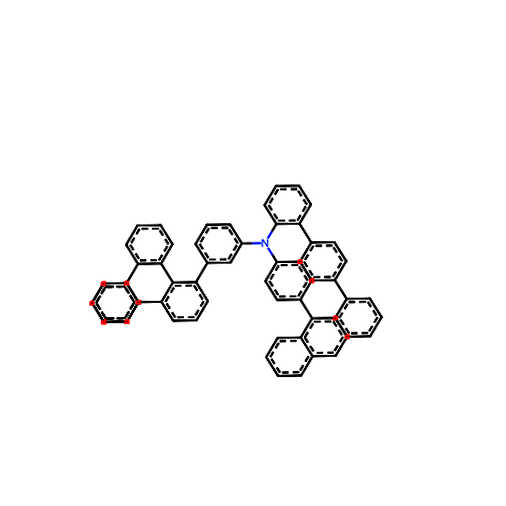 c1ccc(-c2ccc(-c3ccccc3N(c3ccc(-c4cccc5ccccc45)cc3)c3cccc(-c4cccc(-c5ccccc5)c4-c4ccccc4-c4ccccc4)c3)cc2)cc1